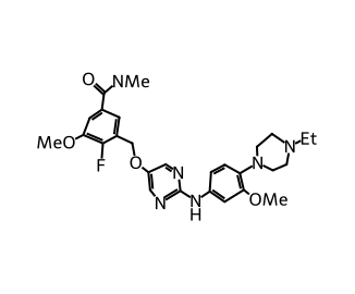 CCN1CCN(c2ccc(Nc3ncc(OCc4cc(C(=O)NC)cc(OC)c4F)cn3)cc2OC)CC1